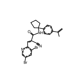 C=C(C)c1ccc(C2(NC(=O)/C(C#N)=C/c3ncc(Br)cc3Br)CCCC2)cc1